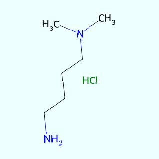 CN(C)CCCCN.Cl